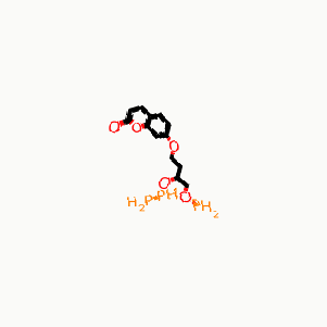 O=c1ccc2ccc(OCCC(COP)OPP)cc2o1